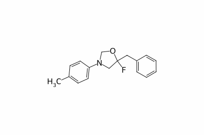 Cc1ccc(N2COC(F)(Cc3ccccc3)C2)cc1